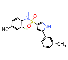 Cc1cccc(-c2cc(S(=O)(=O)Nc3ccc(C#N)cc3F)c[nH]2)c1